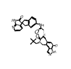 CC(C)(C)CN1Cc2c(cc(Cl)c3[nH]ncc23)C[C@@H](CC(=O)Nc2ccc3c(c2)CC2(C3)C(=O)Nc3ncccc32)C1=O